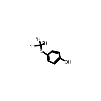 [2H]C([2H])([2H])Sc1ccc(O)cc1